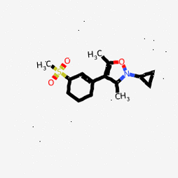 CC1=C(C2=CC(S(C)(=O)=O)CCC2)C(C)N(C2CC2)O1